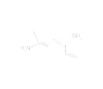 C=C/C(N)=C\C=C(\N)I